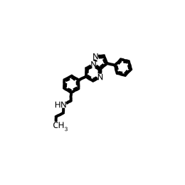 CCCNCc1cccc(-c2cnc3c(-c4ccccc4)cnn3c2)c1